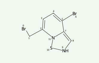 BrCC1=CC=C(Br)C2=CNSN12